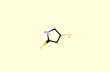 S=C1C[C@@H](S)CN1